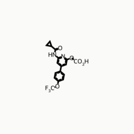 O=C(O)Oc1cc(-c2ccc(OC(F)(F)F)cc2)cc(NC(=O)C2CC2)n1